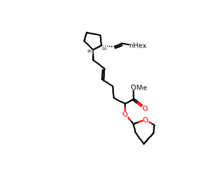 CCCCCCC=C[C@H]1CCC[C@@H]1CC=CCCC(OC1CCCCO1)C(=O)OC